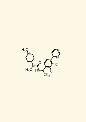 CC(NC(=O)N(C)C1CCN(C)CC1)c1ccc(-c2ccncn2)c(Cl)c1Cl